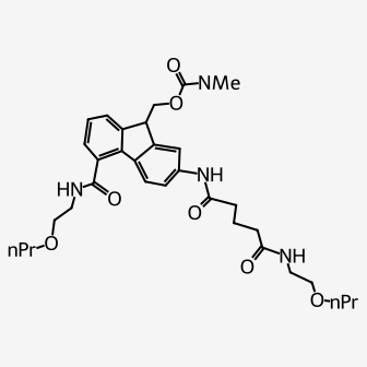 CCCOCCNC(=O)CCCC(=O)Nc1ccc2c(c1)C(COC(=O)NC)c1cccc(C(=O)NCCOCCC)c1-2